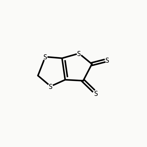 S=C1SC2=C(SCS2)C1=S